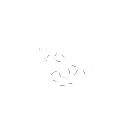 N=C(N)c1cccc(Oc2cccc3ccc(=O)n(-c4cccc(C(=N)N)c4)c23)c1